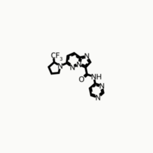 O=C(Nc1ccncn1)c1cnc2ccc(N3CCCC3C(F)(F)F)nn12